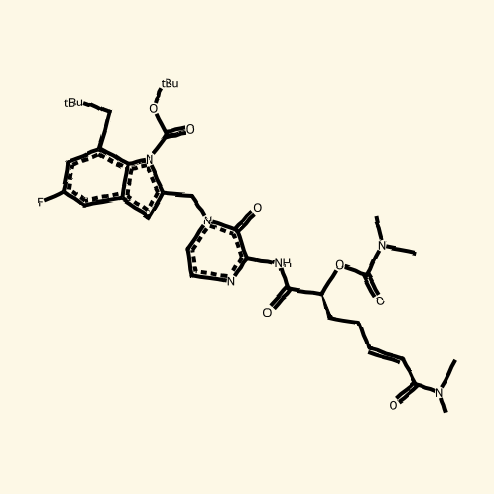 CN(C)C(=O)/C=C/CC[C@H](OC(=O)N(C)C)C(=O)Nc1nccn(Cc2cc3cc(F)cc(CC(C)(C)C)c3n2C(=O)OC(C)(C)C)c1=O